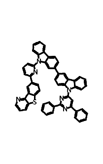 c1ccc(-c2cc(-n3c4ccccc4c4cc(-c5ccc6c7ccccc7n(-c7cccc(-c8ccc9sc%10cccnc%10c9c8)n7)c6c5)ccc43)nc(-c3ccccc3)n2)cc1